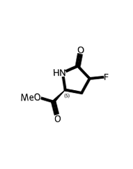 COC(=O)[C@@H]1CC(F)C(=O)N1